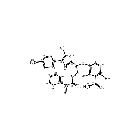 CN(C(=O)OCC(Oc1ccc(F)c(C(N)=O)c1F)c1nc(-c2ccc(C(F)(F)F)cc2)c(Br)o1)c1ccccn1